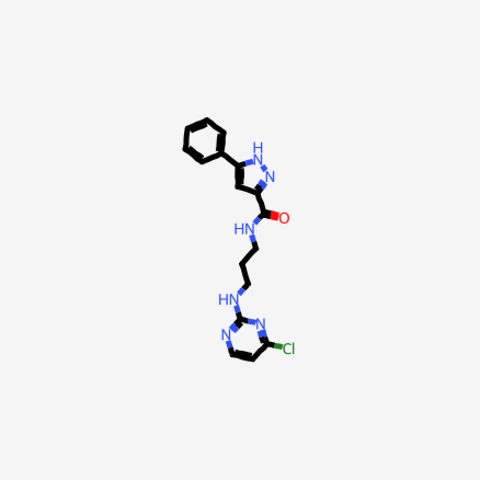 O=C(NCCCNc1nccc(Cl)n1)c1cc(-c2ccccc2)[nH]n1